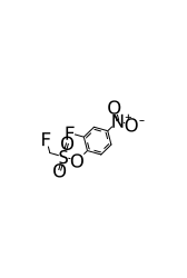 O=[N+]([O-])c1ccc(OS(=O)(=O)CF)c(F)c1